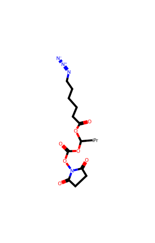 CC(C)C(OC(=O)CCCCCN=[N+]=[N-])OC(=O)ON1C(=O)CCC1=O